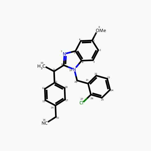 COc1ccc2c(c1)nc(C(C)c1ccc(CC#N)cc1)n2Cc1ccccc1Cl